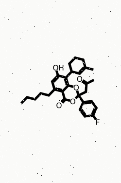 CCCCCc1cc(O)c(C2C=C(C)CCC2)c2c1C(=O)OC(CC(C)=O)(c1ccc(F)cc1)O2